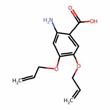 C=CCOc1cc(N)c(C(=O)O)cc1OCC=C